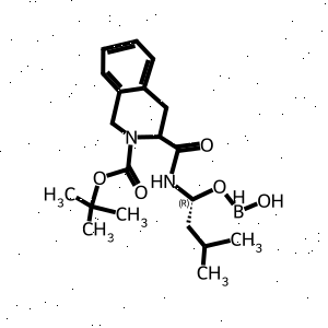 CC(C)C[C@H](NC(=O)C1Cc2ccccc2CN1C(=O)OC(C)(C)C)OBO